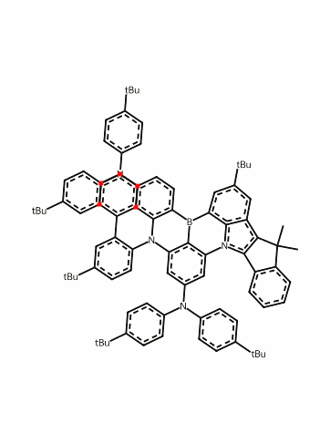 CC(C)(C)c1ccc(N(c2ccc(C(C)(C)C)cc2)c2ccc3c(c2)N(c2ccc(C(C)(C)C)cc2-c2ccccc2)c2cc(N(c4ccc(C(C)(C)C)cc4)c4ccc(C(C)(C)C)cc4)cc4c2B3c2cc(C(C)(C)C)cc3c5c(n-4c23)-c2ccccc2C5(C)C)cc1